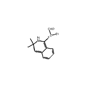 CC1(C)C=c2ccccc2=C(F)N1.CCOC=O